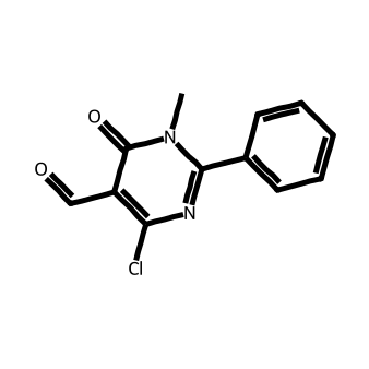 Cn1c(-c2ccccc2)nc(Cl)c(C=O)c1=O